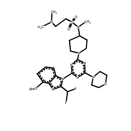 COc1cccc2c1nc(C(F)F)n2-c1nc(N2CCOCC2)nc(N2CCC(N(C)S(=O)(=O)CCN(C)C)CC2)n1